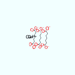 O=C([O-])CCCCCC(=O)[O-].O=C([O-])CCCCCC(=O)[O-].O=C([O-])CCCCCC(=O)[O-].[Ga+3].[Ga+3]